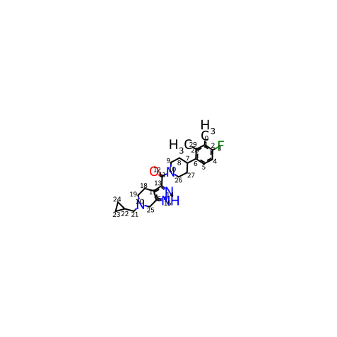 Cc1c(F)ccc(C2CCN(C(=O)c3n[nH]c4c3CCN(CC3CC3)C4)CC2)c1C